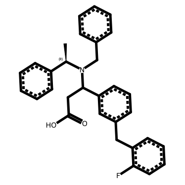 C[C@H](c1ccccc1)N(Cc1ccccc1)C(CC(=O)O)c1cccc(Cc2ccccc2F)c1